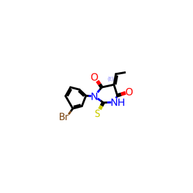 C/C=C1\C(=O)NC(=S)N(c2cccc(Br)c2)C1=O